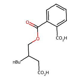 CCCCC(COC(=O)c1ccccc1C(=O)O)CC(=O)O